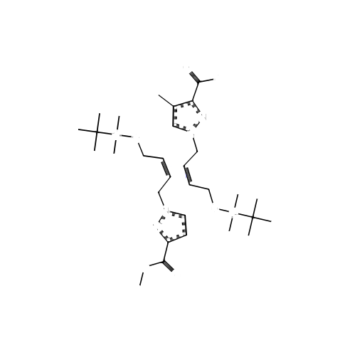 COC(=O)c1ccn(C/C=C\CO[Si](C)(C)C(C)(C)C)n1.Cc1cn(C/C=C\CO[Si](C)(C)C(C)(C)C)nc1C(=O)O